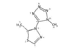 CC1S[C]=NN1c1nnnn1C